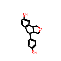 Oc1ccc(C2Cc3ccc(O)cc3C3COCC23)cc1